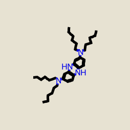 CCCCCCN(CCCCCC)c1ccc2c(c1)Nc1cc(N(CCCCCC)CCCCCC)ccc1N2